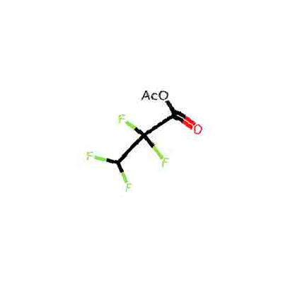 CC(=O)OC(=O)C(F)(F)C(F)F